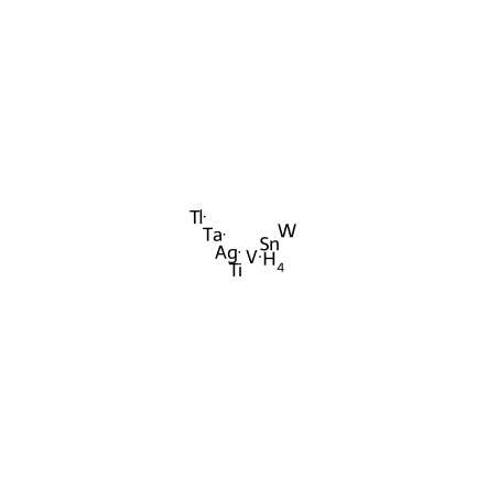 [Ag].[SnH4].[Ta].[Ti].[Tl].[V].[W]